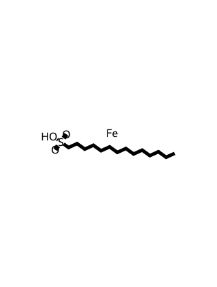 CCCCCCCCCCCCCCS(=O)(=O)O.[Fe]